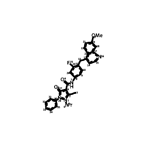 CCCn1c(C)c(C(=O)Nc2ccc(Cc3ccnc4cc(OC)ccc34)c(F)c2)c(=O)n1-c1ccccc1